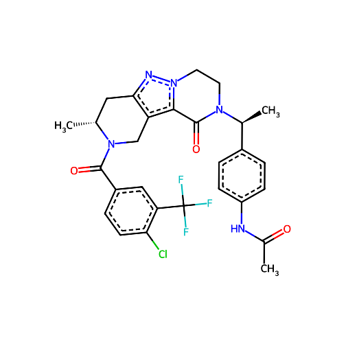 CC(=O)Nc1ccc([C@H](C)N2CCn3nc4c(c3C2=O)CN(C(=O)c2ccc(Cl)c(C(F)(F)F)c2)[C@H](C)C4)cc1